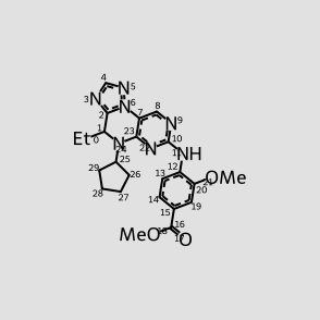 CCC1c2ncnn2-c2cnc(Nc3ccc(C(=O)OC)cc3OC)nc2N1C1CCCC1